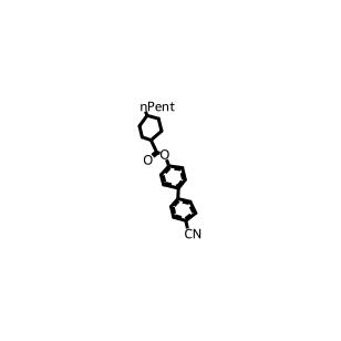 CCCCCC1CCC(C(=O)Oc2ccc(-c3ccc(C#N)cc3)cc2)CC1